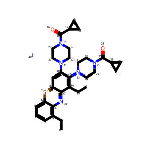 CCc1cccc2[s+]c3cc(N4CCN(C(=O)C5CC5)CC4)c(N4CCN(C(=O)C5CC5)CC4)c(CC)c3nc12.[I-]